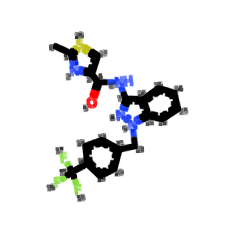 Cc1nc(C(=O)Nc2nn(Cc3ccc(C(F)(F)F)cc3)c3ccccc23)cs1